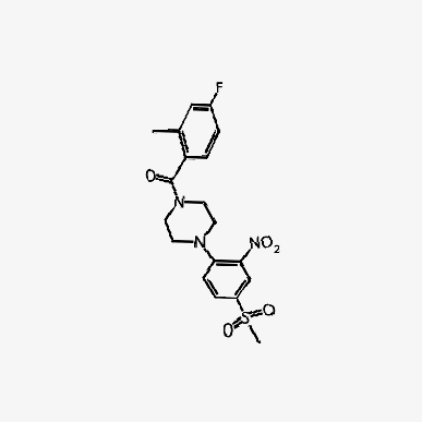 Cc1cc(F)ccc1C(=O)N1CCN(c2ccc(S(C)(=O)=O)cc2[N+](=O)[O-])CC1